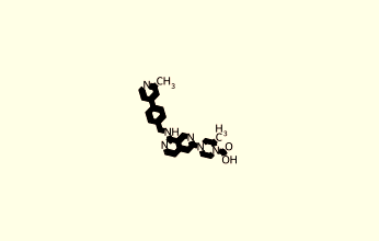 Cc1cc(-c2ccc(CNc3nccc4cc(N5CCN(C(=O)O)C(C)C5)ncc34)cc2)ccn1